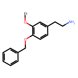 CCOc1cc(CCN)ccc1OCc1ccccc1